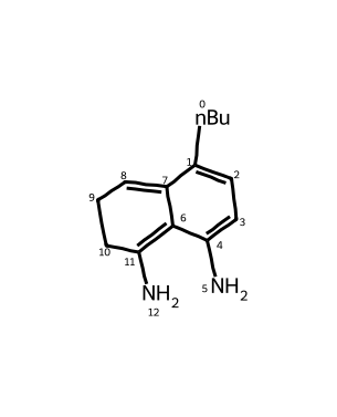 CCCCc1ccc(N)c2c1=CCCC=2N